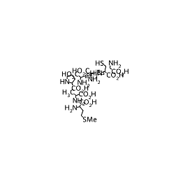 CC(C)C(N)C(=O)O.CC(N)C(=O)O.CCC(C)C(N)C(=O)O.CSCCC(N)C(=O)O.NC(CS)C(=O)O.NCC(=O)O.O=C(O)[C@@H]1CCCN1